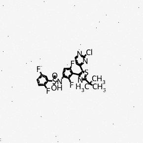 CC(C)(C)c1nc(-c2c(F)ccc(NS(=O)(=O)c3cc(F)ccc3F)c2F)c(-c2ccnc(Cl)n2)s1